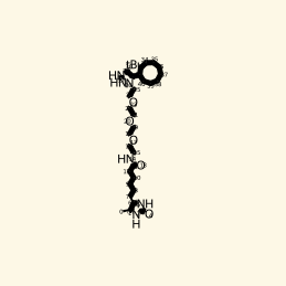 C[C@@H]1NC(=O)N[C@@H]1CCCCCC(=O)NCCOCCOCCOCCN1NNC(C(C)(C)C)C1C1CCCCCCCC1